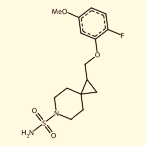 COc1ccc(F)c(OCC2CC23CCN(S(N)(=O)=O)CC3)c1